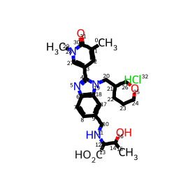 Cc1cc(-c2nc3ccc(CNC(C(=O)O)C(C)O)cc3n2CC2CCCOC2)cn(C)c1=O.Cl